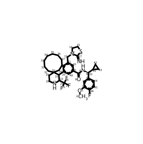 COc1cc([C@@H](NC(=O)c2cc(CN3CCSC3=N)cc(C3C(C(F)(F)F)NCCC34CCCCCCCCC4)c2)C2CC2)ccc1F